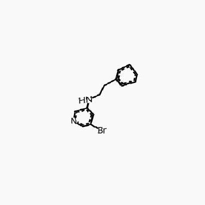 Brc1cncc(NCCc2ccccc2)c1